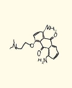 CN(C)CCOc1ccc(N)c2c1C(=O)c1c(N)cccc1C2=O